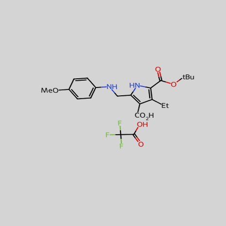 CCc1c(C(=O)OC(C)(C)C)[nH]c(CNc2ccc(OC)cc2)c1C(=O)O.O=C(O)C(F)(F)F